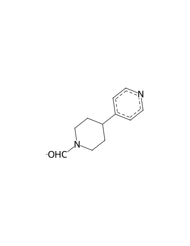 O=[C]N1CCC(c2ccncc2)CC1